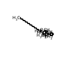 CCCCCCCCCCCCCCCCCCNC(=O)NC1CC(C)(CC)N(OC(C)c2ccccc2)C(C)(CC)C1C